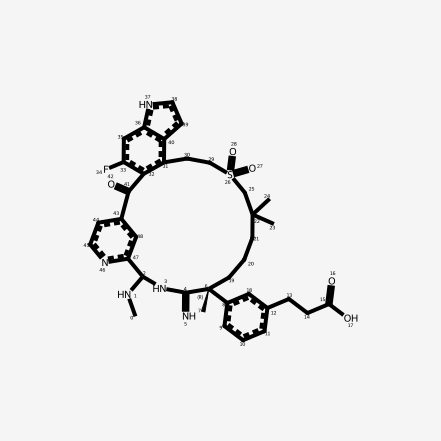 CNC1NC(=N)[C@@](C)(c2cccc(CCC(=O)O)c2)CCCC(C)(C)CS(=O)(=O)CCc2c(c(F)cc3[nH]ccc23)C(=O)c2ccnc1c2